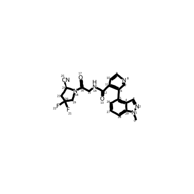 Cn1ncc2c(-c3cnccc3C(=O)NCC(=O)N3CC(F)(F)C[C@H]3C#N)cccc21